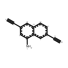 C#Cc1cc(N)c2cc(C#C)ccc2c1